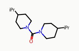 CC(C)C1CCN(C(=O)N2CCC(C(C)C)CC2)CC1